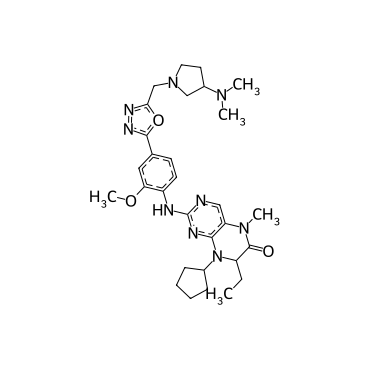 CCC1C(=O)N(C)c2cnc(Nc3ccc(-c4nnc(CN5CCC(N(C)C)C5)o4)cc3OC)nc2N1C1CCCC1